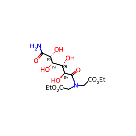 CCOC(=O)CN(CC(=O)OCC)C(=O)[C@@H](O)[C@@H](O)[C@H](O)[C@@H](O)C(N)=O